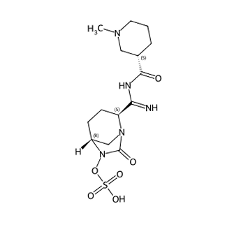 CN1CCC[C@H](C(=O)NC(=N)[C@@H]2CC[C@@H]3CN2C(=O)N3OS(=O)(=O)O)C1